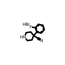 Br.N#CC1(c2ccccc2F)CCNCC1